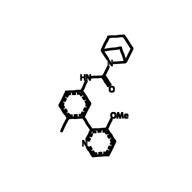 COc1cccnc1-c1cc(NC(=O)N2C3CCCC2C3)ccc1C